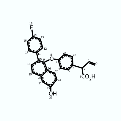 C=CC(C(=O)O)c1ccc(Oc2c(-c3ccc(F)cc3)ccc3cc(O)ccc23)cc1